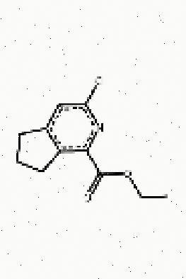 CCOC(=O)c1nc(Cl)cc2c1CCC2